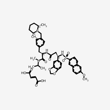 COc1ccc2cc(S(=O)(=O)N[C@H](CC(=O)N[C@H](Cc3ccc(CN4[C@H](C)CCC[C@@H]4C)cc3)C(=O)N(C)C(C)C)c3ccc4c(c3)OCO4)ccc2c1.O=C(O)C=CC(=O)O